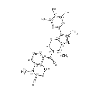 C[C@H]1c2nn(C)c(-c3cc(F)c(F)c(F)c3)c2CCN1C(=O)c1cccc2c1OCC(=O)N2C